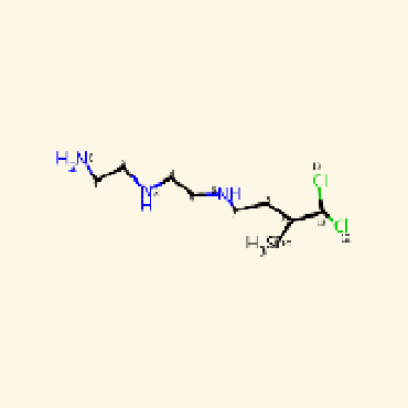 NCCNCCNCCC([SiH3])C(Cl)Cl